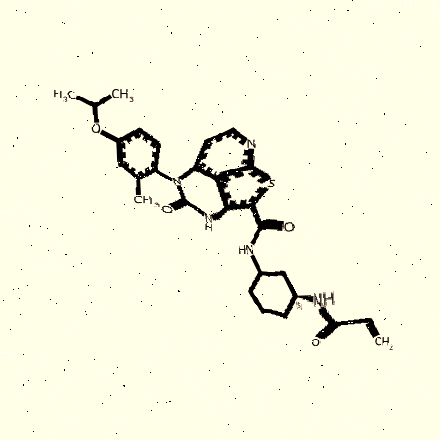 C=CC(=O)N[C@H]1CCCC(NC(=O)c2sc3nccc4c3c2NC(=O)N4c2ccc(OC(C)C)cc2C)C1